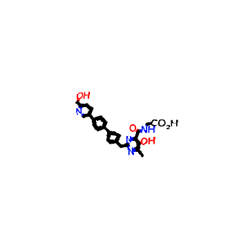 Cc1nc(Cc2ccc(-c3ccc(-c4ccc(CO)nc4)cc3)cc2)nc(C(=O)NCC(=O)O)c1O